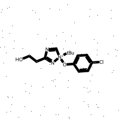 CC(C)(C)[N+]1(Oc2ccc(Cl)cc2)C=NC(CCO)=N1